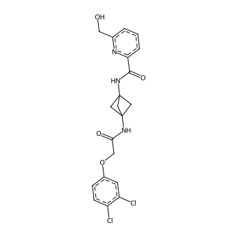 O=C(COc1ccc(Cl)c(Cl)c1)NC12CC(NC(=O)c3cccc(CO)n3)(C1)C2